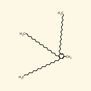 [CH2]c1cc(CCCCCCCCCCCCCCCCC)c(CCCCCCCCCCCCCCCCC)c(CCCCCCCCCCCCCCCCC)c1